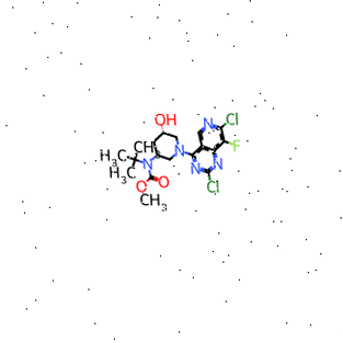 COC(=O)N([C@H]1C[C@H](O)CN(c2nc(Cl)nc3c(F)c(Cl)ncc23)C1)C(C)(C)C